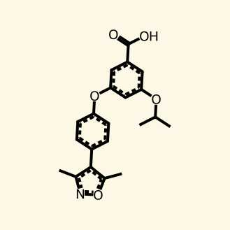 Cc1noc(C)c1-c1ccc(Oc2cc(OC(C)C)cc(C(=O)O)c2)cc1